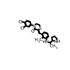 Cc1c(/C=C2\SCCN(c3ccc(Cl)c(Cl)c3)C2=O)cccc1NC(C)C1CCCN1